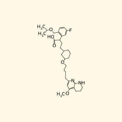 COc1cc(CCCCO[C@@H]2CCCC(CCC(C(=O)O)c3cc(F)ccc3COC(C)C)C2)nc2c1CCCN2